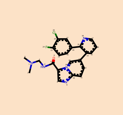 CN(C)CNC(=O)c1cnc2ccc(-c3cccnc3-c3ccc(F)c(Cl)c3)cn12